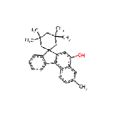 Cc1ccc2c3c(cc(O)c2c1)C1(CC(C)(C)CC(C)(C)C1)c1ccccc1-3